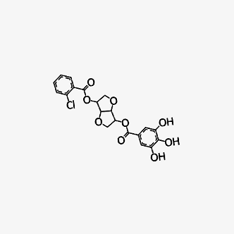 O=C(OC1COC2C(OC(=O)c3ccccc3Cl)COC12)c1cc(O)c(O)c(O)c1